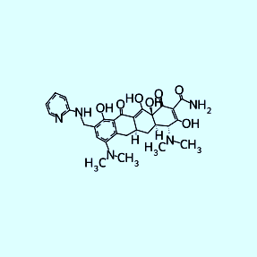 CN(C)c1cc(CNc2ccccn2)c(O)c2c1C[C@@H]1C[C@@H]3[C@@H](N(C)C)C(O)=C(C(N)=O)C(=O)[C@@]3(O)C(O)=C1C2=O